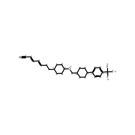 N#CC=CC=CCCC1CCC(OCC2CCC(c3ccc(C(F)(F)F)cc3)CC2)CC1